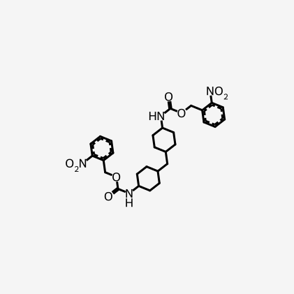 O=C(NC1CCC(CC2CCC(NC(=O)OCc3ccccc3[N+](=O)[O-])CC2)CC1)OCc1ccccc1[N+](=O)[O-]